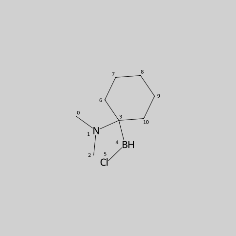 CN(C)C1(BCl)CCCCC1